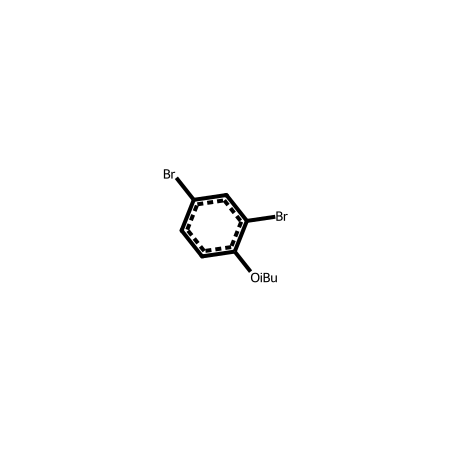 CC(C)COc1ccc(Br)cc1Br